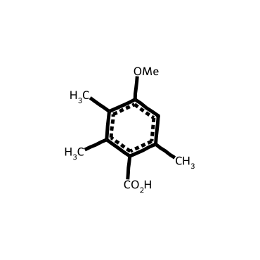 COc1cc(C)c(C(=O)O)c(C)c1C